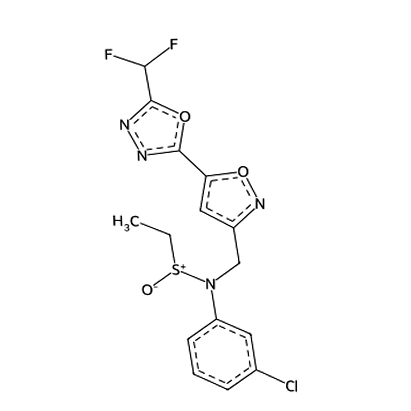 CC[S+]([O-])N(Cc1cc(-c2nnc(C(F)F)o2)on1)c1cccc(Cl)c1